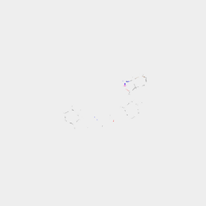 Fc1cccc(CNCCOc2cccc(-c3onc4sccc34)c2)c1